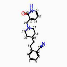 N#Cc1ccccc1CCC1CCN(Cc2ccc[nH]c2=O)CC1